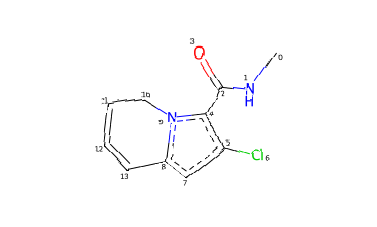 CNC(=O)c1c(Cl)cc2n1CC=C=C2